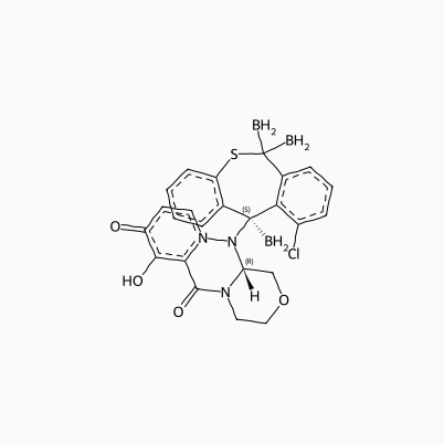 BC1(B)Sc2ccccc2[C@](B)(N2[C@@H]3COCCN3C(=O)c3c(O)c(=O)ccn32)c2c(Cl)cccc21